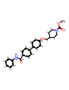 CC(C)OC(=O)N1CCC(COc2ccc(-c3ccc(C(=O)Nc4ccccc4)cc3)cc2)CC1